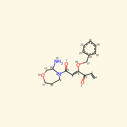 C=CC(=O)/C(=C/C(=O)N1CCCOCC1N)OCc1ccccc1